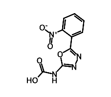 O=C(O)Nc1nnc(-c2ccccc2[N+](=O)[O-])o1